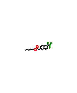 CCCCCCOC(=O)Cc1ccc2cc(C(F)(F)F)ccc2c1